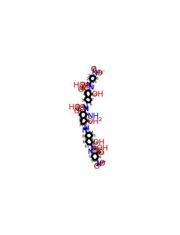 Nc1c(N=Nc2ccc3c(O)c(N=Nc4ccc([N+](=O)[O-])cc4)c(S(=O)(=O)O)cc3c2)c(S(=O)(=O)O)cc2ccc(N=Nc3ccc4c(O)c(N=Nc5ccc([N+](=O)[O-])cc5S(=O)(=O)O)ccc4c3)c(O)c12